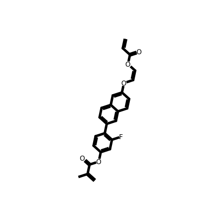 C=CC(=O)O/C=C\Oc1ccc2cc(-c3ccc(OC(=O)C(=C)C)cc3F)ccc2c1